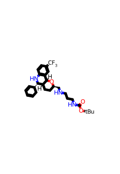 CC(C)(C)OC(=O)NCCCNC[C@H]1CC[C@@H]2[C@H](O1)c1cc(C(F)(F)F)ccc1N[C@H]2C1C=CC=CC1